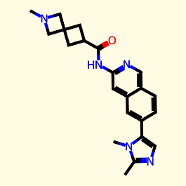 Cc1ncc(-c2ccc3cnc(NC(=O)C4CC5(C4)CN(C)C5)cc3c2)n1C